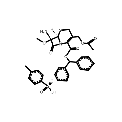 CO[C@@]1(N)C(=O)N2C(C(=O)OC(c3ccccc3)c3ccccc3)=C(COC(C)=O)CS[C@@H]21.Cc1ccc(S(=O)(=O)O)cc1